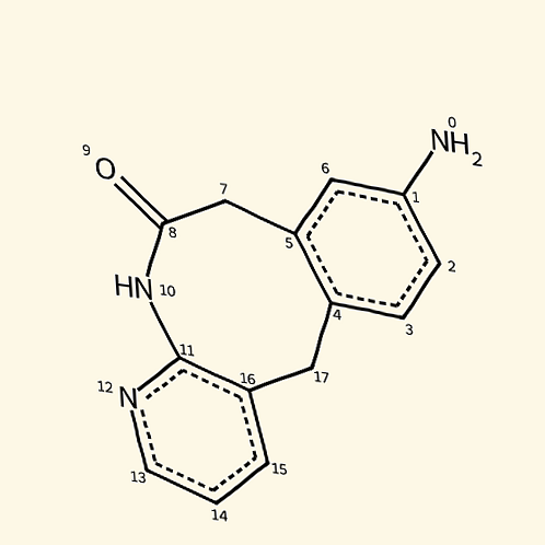 Nc1ccc2c(c1)CC(=O)Nc1ncccc1C2